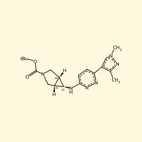 Cc1nn(C)cc1-c1ccc(N[C@H]2[C@@H]3CN(C(=O)OC(C)(C)C)C[C@@H]32)nn1